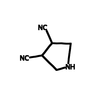 N#CC1CNCC1C#N